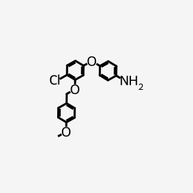 COc1ccc(COc2cc(Oc3ccc(N)cc3)ccc2Cl)cc1